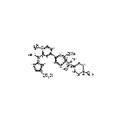 CCCN(c1nc(C(=O)OCC)cs1)c1cc(-c2ccc(S(=O)(=O)N3CCN(C)CC3)c(OC)c2)ccc1C